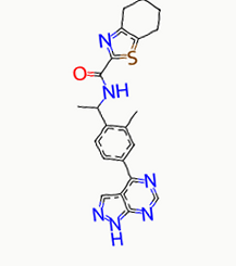 Cc1cc(-c2ncnc3[nH]ncc23)ccc1C(C)NC(=O)c1nc2c(s1)CCCC2